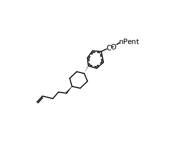 C=CCCC[C@H]1CC[C@H](c2ccc(COCCCCC)cc2)CC1